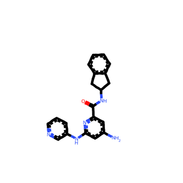 Nc1cc(Nc2cccnc2)nc(C(=O)NC2Cc3ccccc3C2)c1